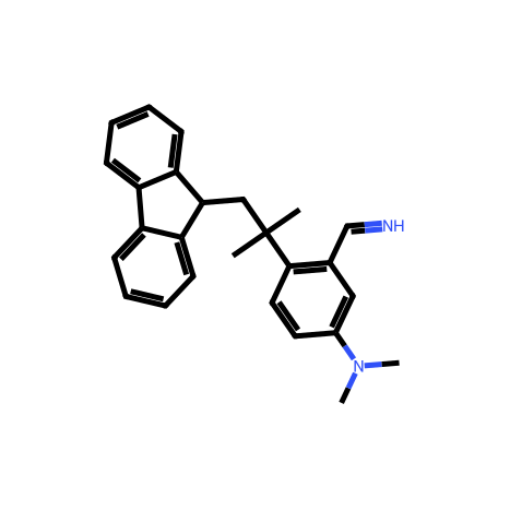 CN(C)c1ccc(C(C)(C)CC2c3ccccc3-c3ccccc32)c(C=N)c1